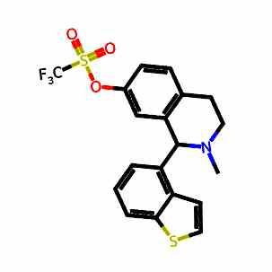 CN1CCc2ccc(OS(=O)(=O)C(F)(F)F)cc2C1c1cccc2sccc12